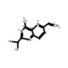 C=Cc1ccc2nc(C(F)F)nc(Cl)c2n1